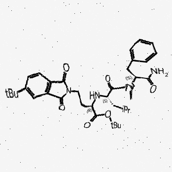 CC(C)C[C@H](N[C@H](CCN1C(=O)c2ccc(C(C)(C)C)cc2C1=O)C(=O)OC(C)(C)C)C(=O)N(C)[C@@H](Cc1ccccc1)C(N)=O